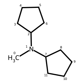 CN(C1CCCC1)C1CCCC1